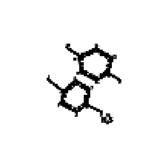 Cc1ccc(C)cc1.Cc1ccc(C)cc1.S